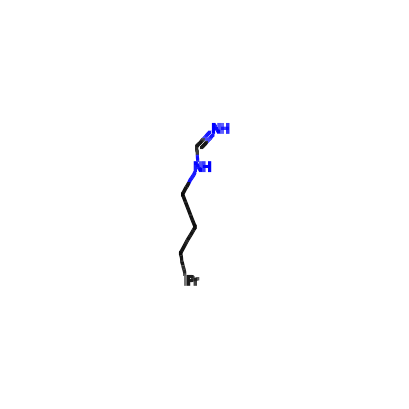 CC(C)CCCNC=N